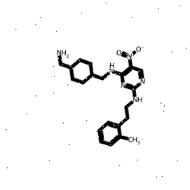 Cc1ccccc1CCNc1ncc([N+](=O)[O-])c(NCC2CCC(CN)CC2)n1